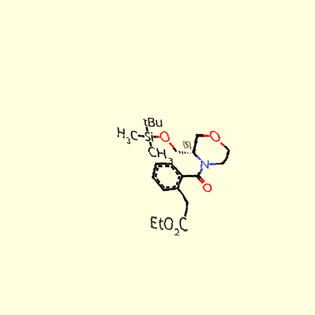 CCOC(=O)Cc1ccccc1C(=O)N1CCOC[C@H]1CO[Si](C)(C)C(C)(C)C